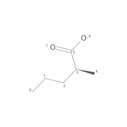 CCC[C@H](C)C([O])=O